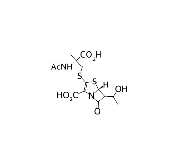 CC(=O)N[C@@](C)(CSC1=C(C(=O)O)N2C(=O)[C@H](C(C)O)[C@H]2S1)C(=O)O